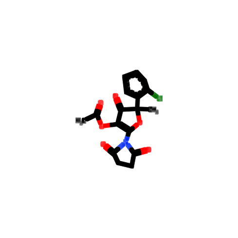 CC(=O)OC1=C(N2C(=O)CCC2=O)OC(C)(c2ccccc2Cl)C1=O